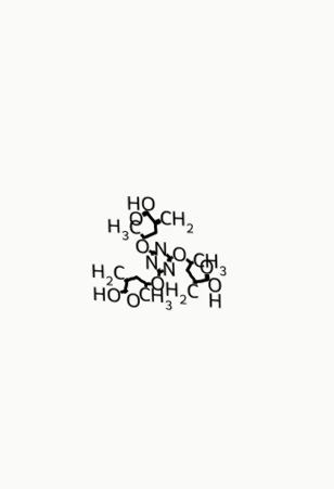 C=C(CC(C)Oc1nc(OC(C)CC(=C)C(=O)O)nc(OC(C)CC(=C)C(=O)O)n1)C(=O)O